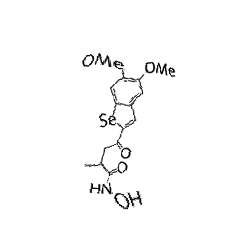 COc1cc2cc(C(=O)CC(C)C(=O)NO)[se]c2cc1OC